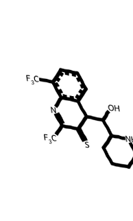 OC(C1CCCCN1)C1C(=S)C(C(F)(F)F)=Nc2c1cccc2C(F)(F)F